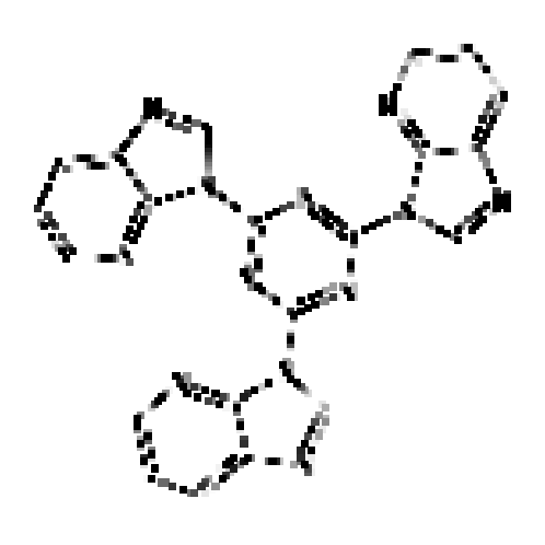 c1cnc2c(c1)ncn2-c1nc(-n2cnc3cccnc32)nc(-n2cnc3cccnc32)n1